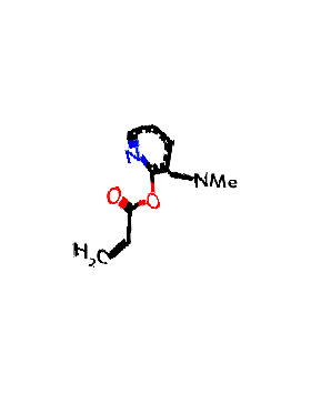 C=CC(=O)Oc1ncccc1NC